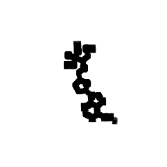 Nc1ncnc2c1ncn2[C@H]1CC[C@@H](COC(CO)P(=O)(O)O)O1